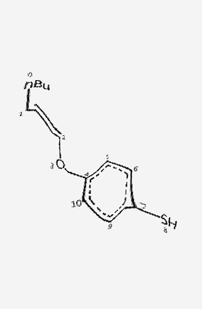 CCCCC=COc1ccc(S)cc1